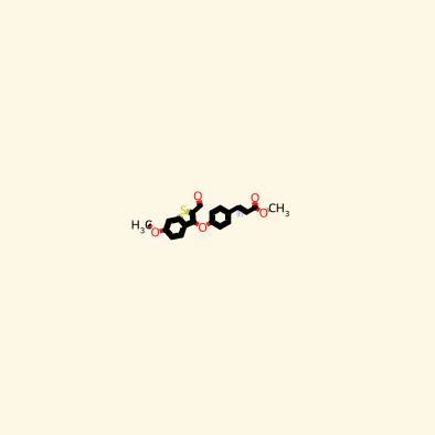 COC(=O)/C=C/c1ccc(Oc2c(C=O)sc3cc(OC)ccc23)cc1